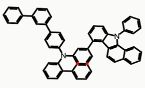 c1ccc(-c2cccc(-c3ccc(N(c4cccc(-c5cccc6c5c5ccc7ccccc7c5n6-c5ccccc5)c4)c4ccccc4-c4ccccc4)cc3)c2)cc1